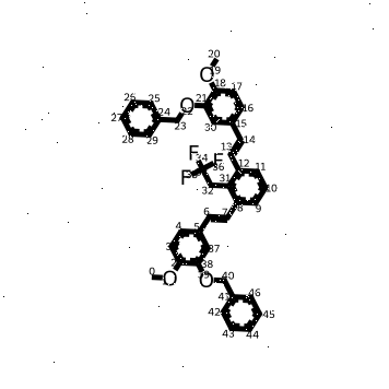 COc1ccc(/C=C/c2cccc(/C=C/c3ccc(OC)c(OCc4ccccc4)c3)c2CC(F)(F)F)cc1OCc1ccccc1